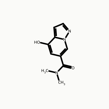 CN(C)C(=O)c1cc(O)c2ccnn2c1